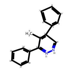 Cc1c(-c2ccccc2)cnnc1-c1ccccc1